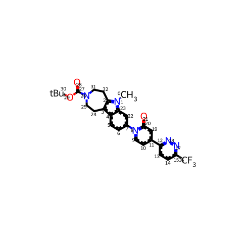 Cn1c2c(c3ccc(-n4ccc(-c5ccc(C(F)(F)F)nn5)cc4=O)cc31)CCN(C(=O)OC(C)(C)C)CC2